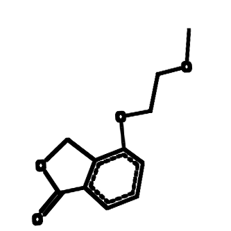 COCCOc1cccc2c1COC2=O